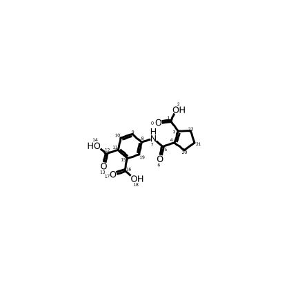 O=C(O)C1=C(C(=O)Nc2ccc(C(=O)O)c(C(=O)O)c2)CCC1